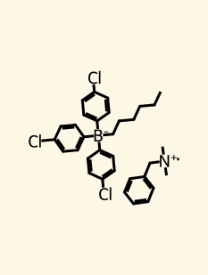 CCCCCC[B-](c1ccc(Cl)cc1)(c1ccc(Cl)cc1)c1ccc(Cl)cc1.C[N+](C)(C)Cc1ccccc1